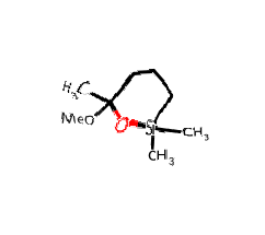 COC1(C)CCC[Si](C)(C)O1